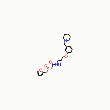 O=C(C[S+]([O-])Cc1ccco1)NCCCOc1cccc(CN2CCCCC2)c1